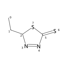 CCC1N=NC(=S)S1